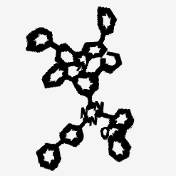 C/C=C\C=C(/C)c1cc(-c2nc(-c3ccc(-c4ccccc4)cc3)nc(-c3cccc4c3oc3ccccc34)n2)cc(-c2ccccc2)c1-n1c2c(c3cc(-c4ccccc4)ccc31)C=C(c1ccccc1)CC2